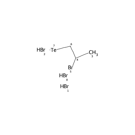 Br.Br.Br.CC(Br)C[Te]